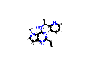 C=Cc1nc(NC(C)c2ccccn2)c2c(ccn2C)n1